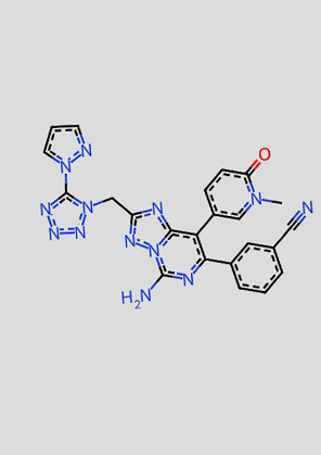 Cn1cc(-c2c(-c3cccc(C#N)c3)nc(N)n3nc(Cn4nnnc4-n4cccn4)nc23)ccc1=O